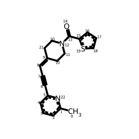 Cc1cccc(C#CC=C2CCN(C(=O)c3cccs3)CC2)n1